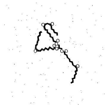 CCCCCCCCC1OC1CCCCCCCC(=O)OCC(COC(=O)CCCCCCCC1OC1CC1OC1CCCCC)OC(=O)CCCCCCCC1OC1CCCCCCCC